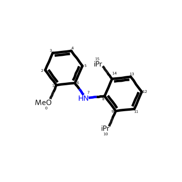 COc1ccccc1Nc1c(C(C)C)cccc1C(C)C